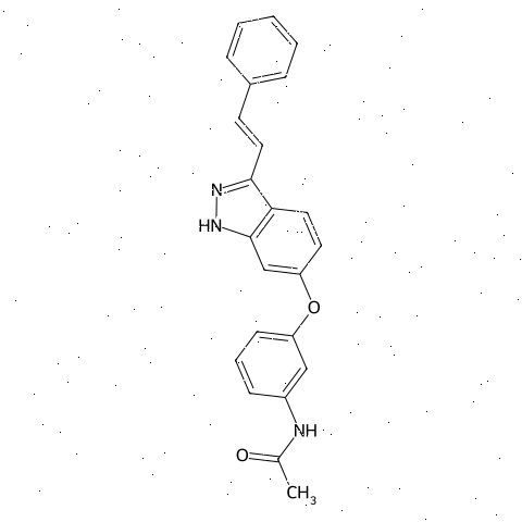 CC(=O)Nc1cccc(Oc2ccc3c(C=Cc4ccccc4)n[nH]c3c2)c1